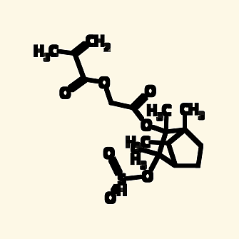 C=C(C)C(=O)OCC(=O)OC1(C)C2(C)CCC(C2C)C1(C)O[SH](=O)=O